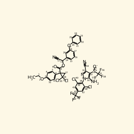 CCOc1ccc(C2(C(=O)OC(C#N)c3cccc(Oc4ccccc4)c3)CC2(Cl)Cl)cc1.N#Cc1nn(-c2c(Cl)cc(C(F)(F)F)cc2Cl)c(N)c1[S+]([O-])C(F)(F)F